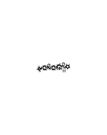 O=C(NC1CCCC1)c1ccc(N2CCN(CC(=O)N3CCN(C4CCC4)CC3)CC2)nn1